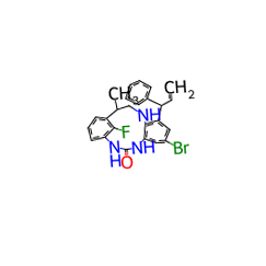 C=CC(c1ccccc1)c1cc(Br)cc2c1NCC(C)c1cccc(c1F)NC(=O)N2